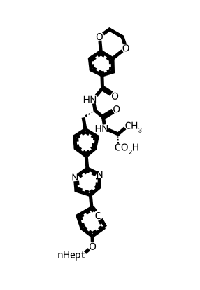 CCCCCCCOc1ccc(-c2cnc(-c3ccc(C[C@H](NC(=O)c4ccc5c(c4)OCCO5)C(=O)N[C@H](C)C(=O)O)cc3)nc2)cc1